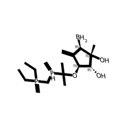 B[C@@H]1C(=C)[C@H](OC(C)(C)[PH](=C)CP(=C)(CC)CC)[C@@H](O)[C@@]1(C)O